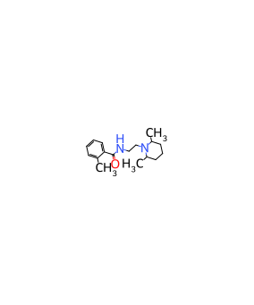 Cc1ccccc1C(=O)NCCN1C(C)CCCC1C